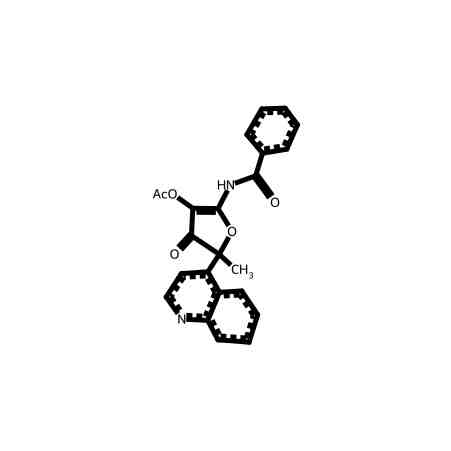 CC(=O)OC1=C(NC(=O)c2ccccc2)OC(C)(c2ccnc3ccccc23)C1=O